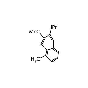 COc1cc2c(C)cccc2cc1C(C)C